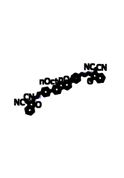 CCCCCCCCC1(CCCCCCCC)c2cc(-c3ccc(/C=C/C=C4\C(=O)c5ccccc5C4=C(C#N)C#N)cc3)ccc2-c2ccc(-c3ccc(/C=C/C=C4\C(=O)c5ccccc5C4=C(C#N)C#N)cc3)cc21